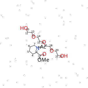 COC(=O)C1CCCCN1C(C)=O.OCCOCCOCCOCCO